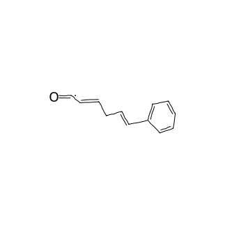 O=[C]C=CC/C=C/c1ccccc1